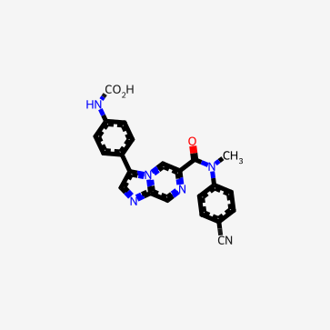 CN(C(=O)c1cn2c(-c3ccc(NC(=O)O)cc3)cnc2cn1)c1ccc(C#N)cc1